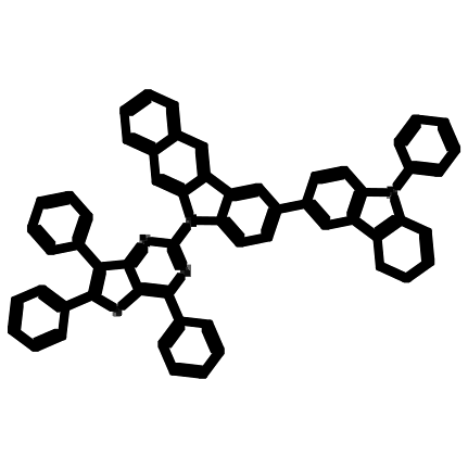 C1=Cc2c(c3cc(-c4ccc5c(c4)c4cc6ccccc6cc4n5-c4nc(-c5ccccc5)c5sc(-c6ccccc6)c(-c6ccccc6)c5n4)ccc3n2-c2ccccc2)CC1